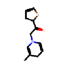 CC1=CN(CC(=O)C2CC=CS2)C=CC1